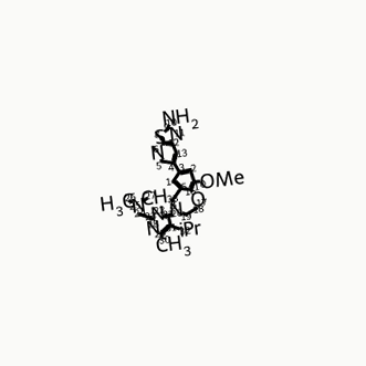 COc1cc(-c2cnc3sc(N)nc3c2)cc2c1OCCN(c1nc(CN(C)C)nc(C)c1C(C)C)C2